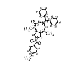 CC1=C2CN(S(=O)(=O)c3ccc(C)cc3)CC2=C(C)C(=O)CN(C(c2ccccc2)c2ccccc2)C1